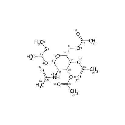 CSC(C)O[C@@H]1O[C@H](COC(C)=O)[C@H](OC(C)=O)[C@H](OC(C)=O)[C@H]1NC(C)=O